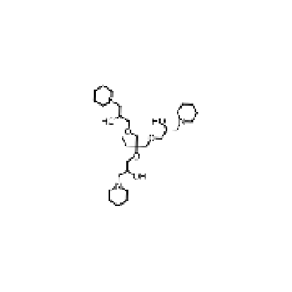 CCC(COCC(O)CN1CCCCC1)(COCC(O)CN1CCCCC1)OCC(O)CN1CCCCC1